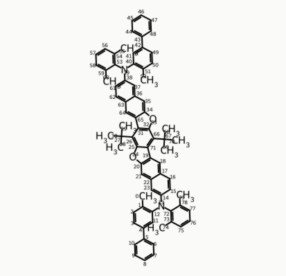 Cc1ccc(-c2ccccc2)cc1N(c1ccc2cc3c(cc2c1)oc1c(C(C)(C)C)c2c(oc4cc5cc(N(c6cc(-c7ccccc7)ccc6C)c6c(C)cccc6C)ccc5cc42)c(C(C)(C)C)c13)c1c(C)cccc1C